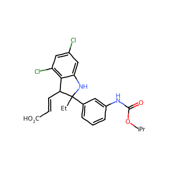 CCC1(c2cccc(NC(=O)OC(C)C)c2)Nc2cc(Cl)cc(Cl)c2C1C=CC(=O)O